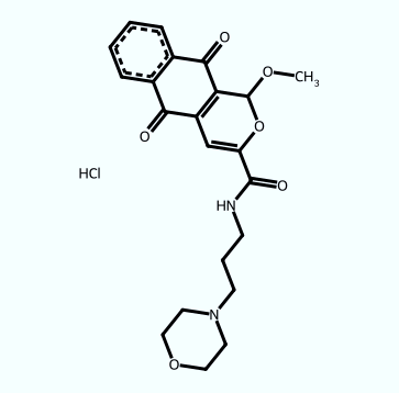 COC1OC(C(=O)NCCCN2CCOCC2)=CC2=C1C(=O)c1ccccc1C2=O.Cl